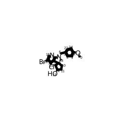 COc1ccc(CN2C[C@@]3(CC[C@@H](O)C3)c3c2ncc(Br)c3Cl)cc1